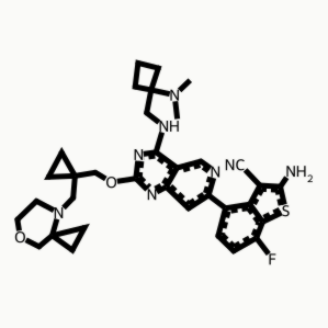 CN(C)C1(CNc2nc(OCC3(CN4CCOCC45CC5)CC3)nc3cc(-c4ccc(F)c5sc(N)c(C#N)c45)ncc23)CCC1